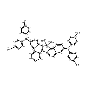 CC(C)c1ccc(N(c2ccc(C(C)C)cc2)c2ccc3c4c(ccc3c2)-c2c(c3ccc(N(c5ccc(C(C)C)cc5)c5ccc(C(C)C)cc5)cc3c3ccccc23)C4(C(C)(C)C)C(C)(C)C)cc1